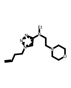 C=CCCn1cc(N(CC)CCN2CCOCC2)nn1